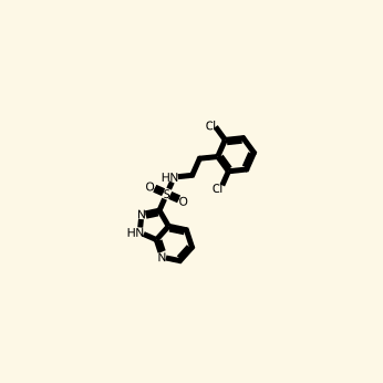 O=S(=O)(NCCc1c(Cl)cccc1Cl)c1n[nH]c2ncccc12